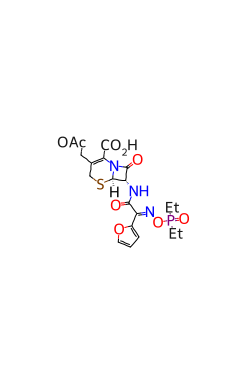 CCP(=O)(CC)ON=C(C(=O)N[C@H]1C(=O)N2C(C(=O)O)=C(COC(C)=O)CS[C@H]12)c1ccco1